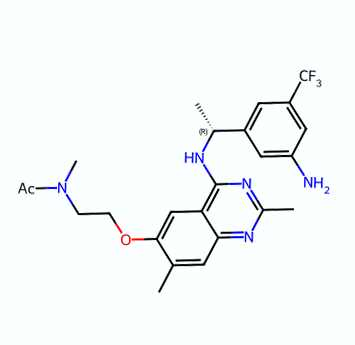 CC(=O)N(C)CCOc1cc2c(N[C@H](C)c3cc(N)cc(C(F)(F)F)c3)nc(C)nc2cc1C